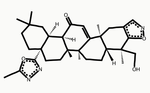 Cc1nnc([C@]23CCC(C)(C)C[C@H]2[C@H]2C(=O)C=C4[C@@]5(C)Cc6cnoc6[C@@](C)(CO)[C@@H]5CC[C@@]4(C)[C@]2(C)CC3)o1